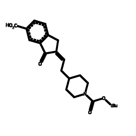 CC(C)(C)OC(=O)N1CCC(CC=C2Cc3ccc(C(=O)O)cc3C2=O)CC1